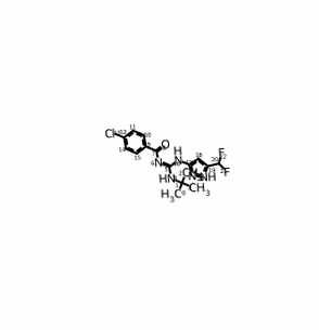 CC(C)(C)N/C(=N/C(=O)c1ccc(Cl)cc1)Nc1cc(C(F)F)[nH]n1